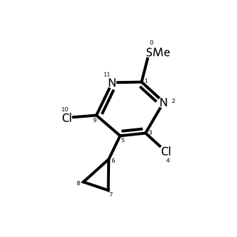 CSc1nc(Cl)c(C2CC2)c(Cl)n1